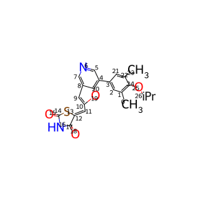 Cc1cc(-c2cncc3cc(/C=C4\SC(=O)NC4=O)oc23)cc(C)c1OC(C)C